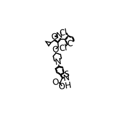 O=C(O)c1nsc2cc(N3CCC(OCc4c(-c5c(Cl)cccc5Cl)noc4C4CC4)CC3)ccc12